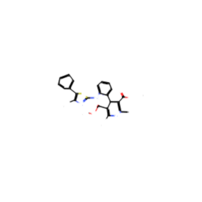 COC(=O)C1=C(C)NC(C)=C(C(=O)OC)C1c1ccccc1Nc1nc(C)c(-c2ccccc2)s1